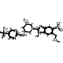 COCc1cc2c(cc1[N+](=O)[O-])nc(N1C[C@H](F)C[C@@H](Nc3ncc(C(F)(F)F)cn3)C1)n2C